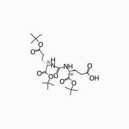 CC(C)(C)OC(=O)CC[C@H](NC(=O)N[C@@H](CCC(=O)O)C(=O)OC(C)(C)C)C(=O)OC(C)(C)C